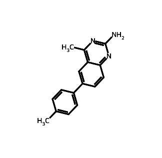 Cc1ccc(-c2ccc3nc(N)nc(C)c3c2)cc1